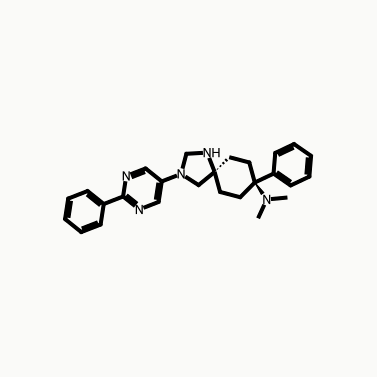 CN(C)[C@]1(c2ccccc2)CC[C@]2(CC1)CN(c1cnc(-c3ccccc3)nc1)CN2